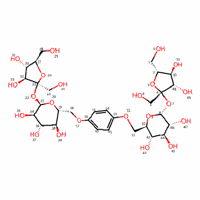 OC[C@H]1O[C@@](CO)(O[C@H]2O[C@H](COc3ccc(OC[C@H]4O[C@H](O[C@]5(CO)O[C@H](CO)[C@@H](O)[C@@H]5O)[C@H](O)[C@@H](O)[C@@H]4O)cc3)[C@@H](O)[C@H](O)[C@H]2O)[C@@H](O)[C@@H]1O